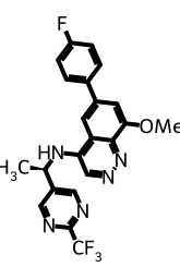 COc1cc(-c2ccc(F)cc2)cc2c(N[C@H](C)c3cnc(C(F)(F)F)nc3)cnnc12